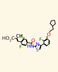 CC(=Cc1c(F)cc(C(=O)Nc2nc(-c3cccc(COCCC4CCCC4)c3F)cs2)cc1F)C(=O)O